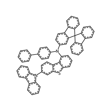 c1ccc(-c2ccc(N(c3ccc4c(c3)C3(c5ccccc5-c5ccccc53)c3ccccc3-4)c3cccc4sc5cc(-n6c7ccccc7c7ccccc76)ccc5c34)cc2)cc1